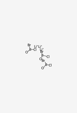 [Li+].[Li+].[Li+].[O-]B(Cl)Br.[O-]B(Cl)Br.[O-]B(Cl)Br